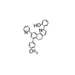 Cc1ccc(-c2cc(-c3ccccn3)cc3c2CCc2ccc(-c4ccccc4O)nc2-3)cc1